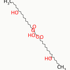 CCCCCCC(O)CCCCCCCCCCC(=O)OCC(O)COC(=O)CCCCCCCCCCC(O)CCCCCC